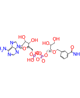 NC(=O)c1cccc(CO[C@H](COP(=O)(O)OP(=O)(O)OC[C@H]2O[C@@H](n3cnc4c(N)ncnc43)C(O)C2O)C(O)CO)c1